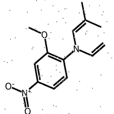 C=CN(C=C(C)C)c1ccc([N+](=O)[O-])cc1OC